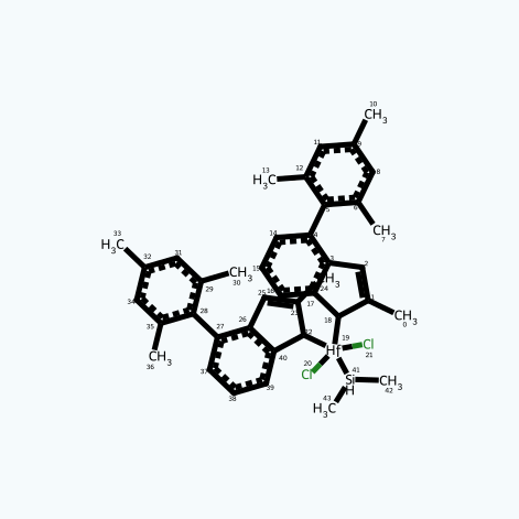 CC1=Cc2c(-c3c(C)cc(C)cc3C)cccc2[CH]1[Hf]([Cl])([Cl])([CH]1C(C)=Cc2c(-c3c(C)cc(C)cc3C)cccc21)[SiH](C)C